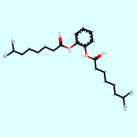 CCC(CC)CCCCCC(=O)Oc1ccccc1OC(=O)CCCCCC(CC)CC